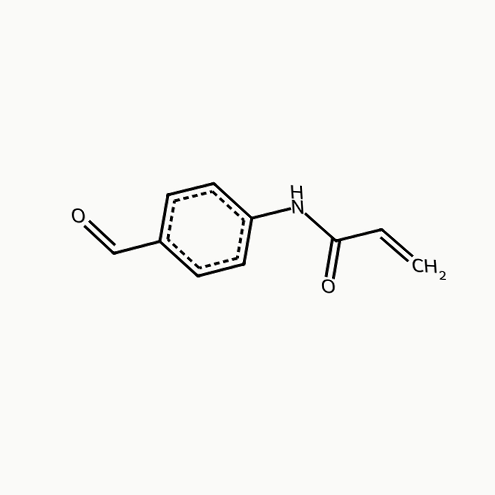 C=CC(=O)Nc1ccc(C=O)cc1